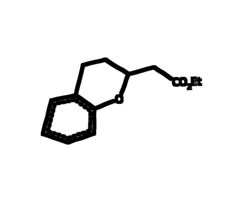 CCOC(=O)CC1CCc2ccccc2O1